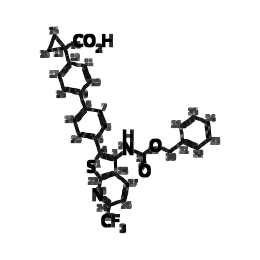 O=C(Nc1c(-c2ccc(-c3ccc(C4(C(=O)O)CC4)cc3)cc2)sc2nc(C(F)(F)F)ccc12)OCc1ccccc1